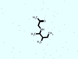 CCC(C)C(C)NCC(C)=O